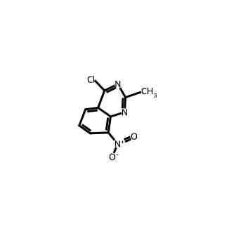 Cc1nc(Cl)c2cccc([N+](=O)[O-])c2n1